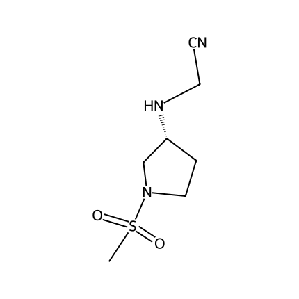 CS(=O)(=O)N1CC[C@@H](NCC#N)C1